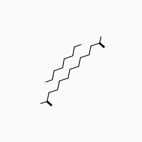 NCCCCCCN.O=C(O)CCCCCCCCCC(=O)O